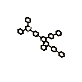 c1ccc(-c2ccc(-c3cc4c(-c5ccc(-c6ccccc6)cc5)cc(-c5ccc(-c6nc(-c7ccccc7)cc(-c7ccccc7)n6)cc5)nc4c4ccccc34)cc2)cc1